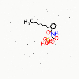 CCCCCCCCc1ccccc1C(=O)N[C@@H](CS(=O)(=O)O)C(=O)O